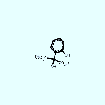 CCOC(=O)C(O)(C(=O)OCC)c1ccccc1O